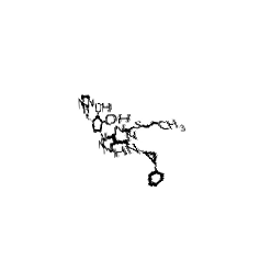 CCCSc1nc(N[C@@H]2C[C@H]2c2ccccc2)c2nnn([C@@H]3C[C@H](Cn4nccn4)[C@@H](O)[C@H]3O)c2n1